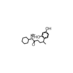 CC(CCC(=O)[NH+]([O-])C1CCCCC1)c1ccc(O)cc1O